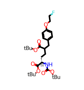 CC(C)(C)OC(=O)N[C@@H](CCC(Cc1ccc(OCCF)cc1)C(=O)OC(C)(C)C)C(=O)OC(C)(C)C